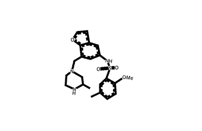 COc1ccc(C)cc1S(=O)(=O)Nc1cc(CN2CCNC(C)C2)c2occc2c1